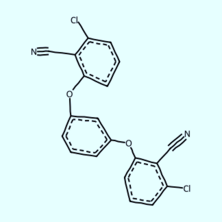 N#Cc1c(Cl)cccc1Oc1cccc(Oc2cccc(Cl)c2C#N)c1